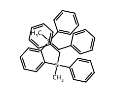 C[Si](Cc1ccccc1)(c1ccccc1)c1ccccc1[Si](C)(Cc1ccccc1)c1ccccc1